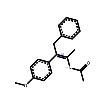 COc1ccc(/C(Cc2ccccc2)=C(/C)NC(C)=O)cc1